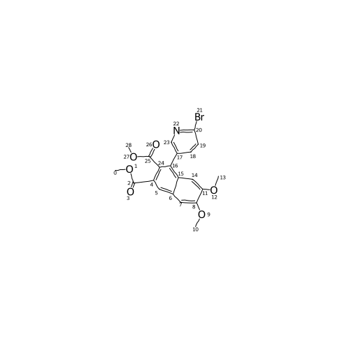 COC(=O)c1cc2cc(OC)c(OC)cc2c(-c2ccc(Br)nc2)c1C(=O)OC